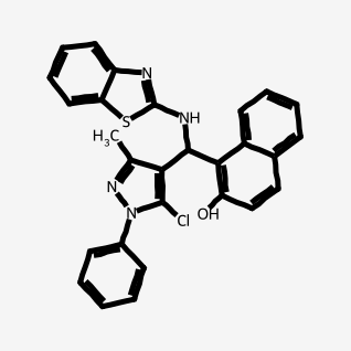 Cc1nn(-c2ccccc2)c(Cl)c1C(Nc1nc2ccccc2s1)c1c(O)ccc2ccccc12